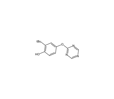 CC(C)(C)c1cc(Oc2ncncn2)ccc1O